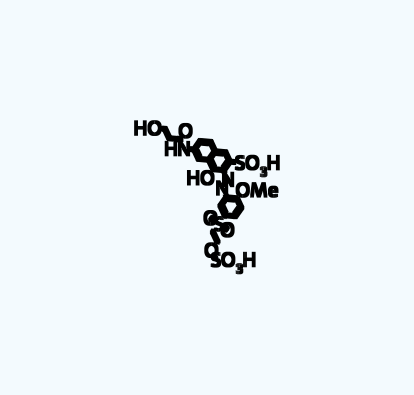 COc1ccc(S(=O)(=O)CCOS(=O)(=O)O)cc1/N=N/c1c(S(=O)(=O)O)cc2ccc(NC(=O)CCO)cc2c1O